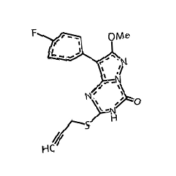 C#CCSc1nc2c(-c3ccc(F)cc3)c(OC)nn2c(=O)[nH]1